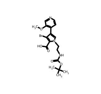 COc1cnccc1-c1cn(CCNC(=O)OC(C)(C)C)c(C(=O)O)c1Br